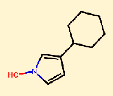 On1ccc(C2CCCCC2)c1